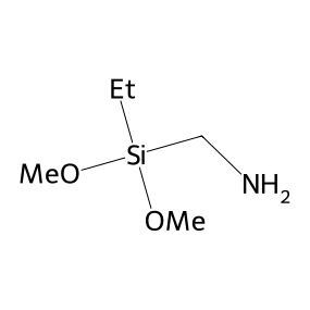 CC[Si](CN)(OC)OC